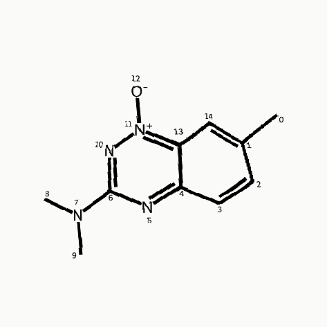 Cc1ccc2nc(N(C)C)n[n+]([O-])c2c1